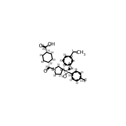 CCc1ccc([C@]2(S(=O)(=O)c3ccc(F)cc3)CCN(C(=O)[C@H]3CC[C@H](C(=O)O)CC3)C2)cc1